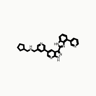 c1cncc(-c2cccc3[nH]c(-c4n[nH]c5ncc(-c6cncc(CNCC7CCCC7)c6)cc45)nc23)c1